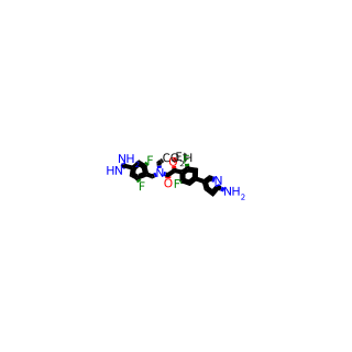 CCOC(C(=O)N(CC(=O)O)Cc1c(F)cc(C(=N)N)cc1F)c1c(F)cc(-c2ccc(N)nc2)cc1F